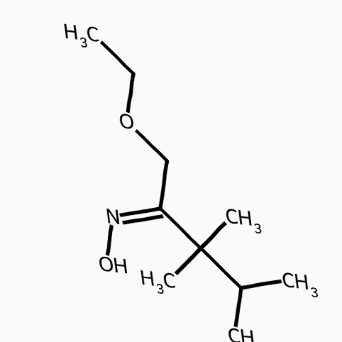 CCOCC(=NO)C(C)(C)C(C)C